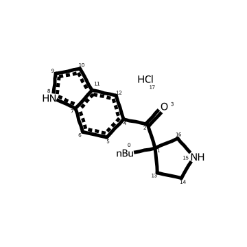 CCCCC1(C(=O)c2ccc3[nH]ccc3c2)CCNC1.Cl